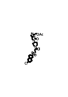 CC(=O)OCc1ncc2n1C(=O)N(C1CCN(C(=O)CCS(=O)(=O)c3ccc4cc(Cl)ccc4c3)CC1)C2.Cl